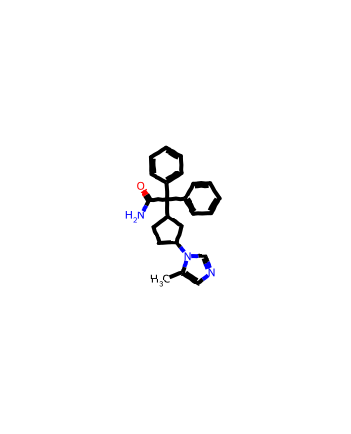 Cc1cncn1C1CCC(C(C(N)=O)(c2ccccc2)c2ccccc2)C1